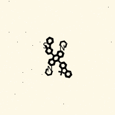 CC1(C)c2ccccc2-c2ccc(-c3c4ccc(N5CCCCC5)cc4c(-c4ccc5sc6ccccc6c5c4)c4ccc(N5CCCCC5)cc34)cc21